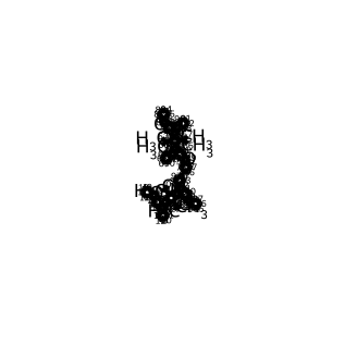 CC(C)c1c2c3c4oc5ccccc5c4cc4c5ccccc5n(c2c(C(C)C)c2c5c6oc7ccccc7c6cc6c7cc(-c8ccc9oc%10cc%11c%12c(C(C)C)c%13c(c(C(C)C)c%12n%12c%14ccccc%14c(c%10c9c8)c%11%12)c8cc9oc%10ccccc%10c9c9c%10ccccc%10n%13c89)ccc7n(c12)c65)c43